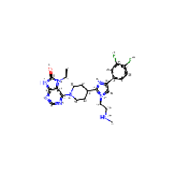 CCn1c(=O)[nH]c2ncnc(N3CCC(c4nc(-c5ccc(F)c(F)c5)cn4CCNC)CC3)c21